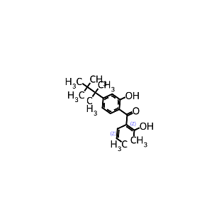 C/C=C\C(C(=O)c1ccc(C(C)(C)C(C)(C)C)cc1O)=C(/C)O